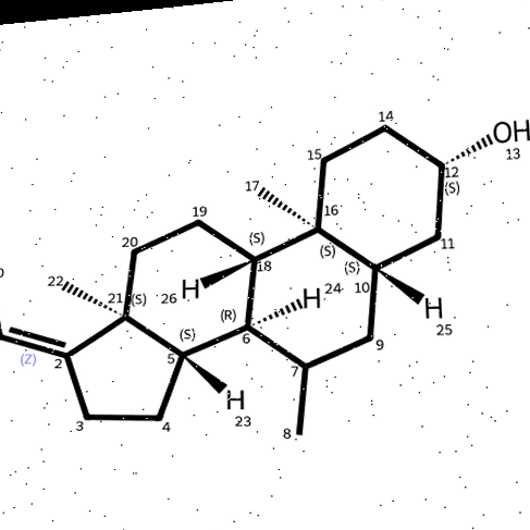 C/C=C1/CC[C@H]2[C@@H]3C(C)C[C@H]4C[C@@H](O)CC[C@]4(C)[C@H]3CC[C@]12C